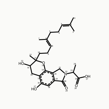 CC(C)=CCC/C(C)=C/CCC1(C)Oc2c(c(O)cc3c2CN(C(C)C(=O)O)C3=O)CC1O